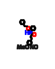 COc1ccc(/C=C/C(=O)Nc2ccccc2OCCc2ccccc2)cc1N=O